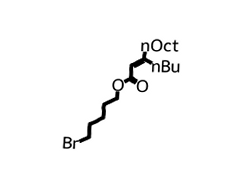 CCCCCCCC/C(=C/C(=O)OCCCCCBr)CCCC